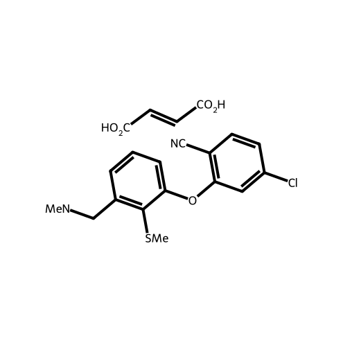 CNCc1cccc(Oc2cc(Cl)ccc2C#N)c1SC.O=C(O)/C=C/C(=O)O